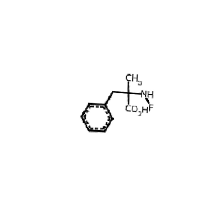 CC(Cc1ccccc1)(NF)C(=O)O